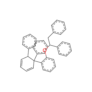 C1=CC(c2ccccc2)C(c2ccccc2)(c2ccccc2OC(Cc2ccccc2)c2ccccc2)C=C1